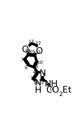 CCOC(=O)Nc1nc(-c2ccc3c(c2)OCCO3)c[nH]1